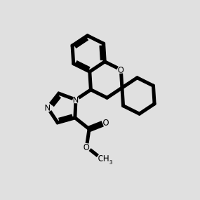 COC(=O)c1cncn1C1CC2(CCCCC2)Oc2ccccc21